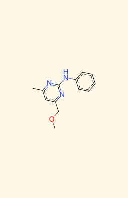 COCc1cc(C)nc(Nc2ccccc2)n1